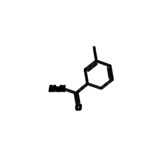 CNC(=O)C1C=C(C)C=CC1